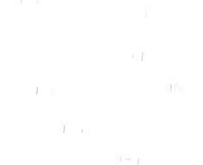 Cc1cc(C)c(O)c(C(C)c2cc(C(C)(C)C)cc(C(C)(C)C)c2O)c1